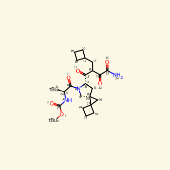 CC(C)(C)OC(=O)N[C@H](C(=O)N1C[C@]2(C[C@H]1C(=O)C(CC1CCC1)C(=O)C(N)=O)CC21CCC1)C(C)(C)C